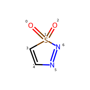 O=S1(=O)C=[C]N=N1